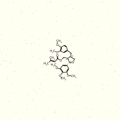 COc1ccc(C[C@H]2CO[C@H](c3cc(OC)c(OC)c(OC)c3)[C@H]2COC(=O)C=C(C)C)cc1OC